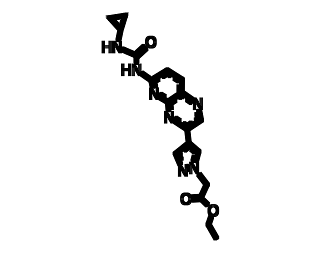 CCOC(=O)Cn1cc(-c2cnc3ccc(NC(=O)NC4CC4)nc3n2)cn1